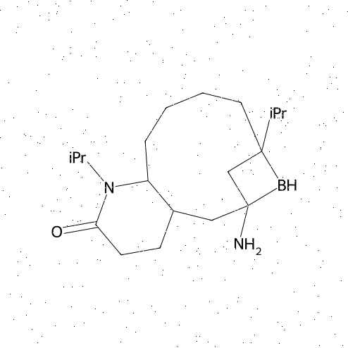 CC(C)N1C(=O)CCC2CC3(N)BC(C(C)C)(CCCCC21)C3